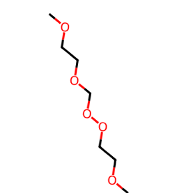 COCCOCOOCCOC